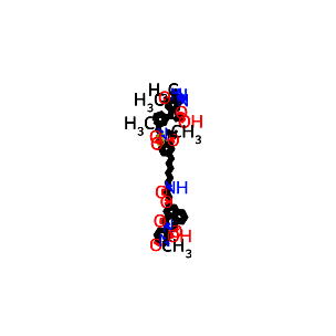 COc1cc([C@@H](CC(=O)O)c2ccc(C)c(CN3C[C@@H](C)Oc4cc(CCCCCCNC(=O)COc5cc6c7c(cccc7c5)C(=O)N(C5CCC(=O)N(C)C5O)C6=O)ccc4S3(=O)=O)c2)cc2nnn(C)c12